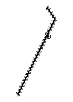 CCCCCCCC/C=C\CCCCCCCCOC(=O)CCCCCCCCCCCCCCCCCCCCCCCCCCCCCCCCCCCCCC